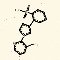 Cc1cccnc1-n1ccc(-c2ccccc2S(C)(=O)=O)c1